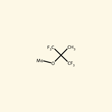 CC([O][Mo])(C(F)(F)F)C(F)(F)F